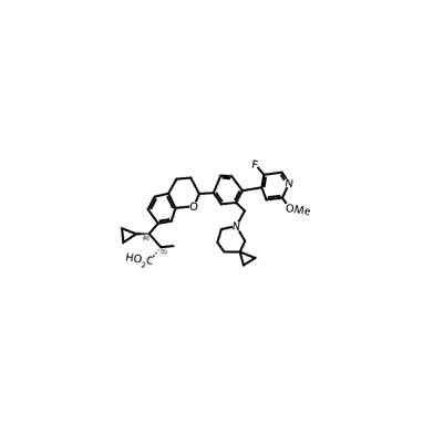 COc1cc(-c2ccc(C3CCc4ccc([C@H](C5CC5)[C@H](C)C(=O)O)cc4O3)cc2CN2CCCC3(CC3)C2)c(F)cn1